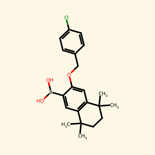 CC1(C)CCC(C)(C)c2cc(B(O)O)c(OCc3ccc(Cl)cc3)cc21